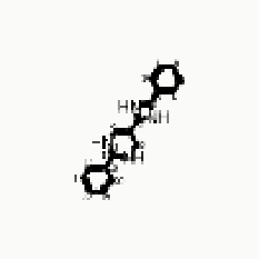 C1=C(C2NC(c3ccccc3)N2)CNC(c2ccccc2)N1